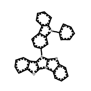 c1ccc(-n2c3ccccc3c3ccc(-n4c5c6ccccc6oc5n5c6ccccc6nc45)cc32)cc1